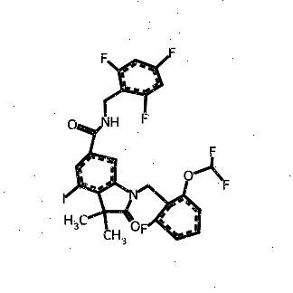 CC1(C)C(=O)N(Cc2c(F)cccc2OC(F)F)c2cc(C(=O)NCc3c(F)cc(F)cc3F)cc(I)c21